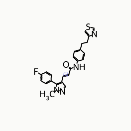 Cn1ncc(/C=C/C(=O)Nc2ccc(CCc3cscn3)cc2)c1-c1ccc(F)cc1